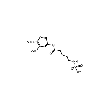 COc1ccc(NC(=O)CCCCNS(=O)(=O)C(C)C)cc1OC